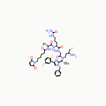 CC(C)[C@H](NC(=O)CCCCCN1C(=O)C=CC1=O)C(=O)NC(CCCNC(N)=O)C(=O)NCC(=O)N(CC[C@H](N)CF)[C@@H](c1nc(-c2cc(F)ccc2F)cn1Cc1ccccc1)C(C)(C)C